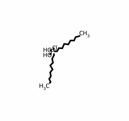 CCCCCCCCCCP(O)(O)(Cl)CCCCCCCCCC